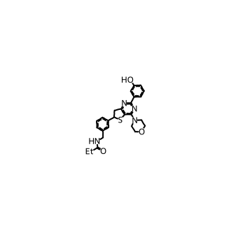 CCC(=O)NCc1cccc(C2Cc3nc(-c4cccc(O)c4)nc(N4CCOCC4)c3S2)c1